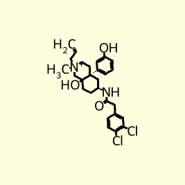 C=CC[N@@+]1(C)CC[C@@]2(c3cccc(O)c3)C[C@@H](NC(=O)Cc3ccc(Cl)c(Cl)c3)CCC2(O)C1